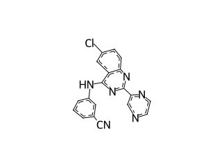 N#Cc1cccc(Nc2nc(-c3cnccn3)nc3ccc(Cl)cc23)c1